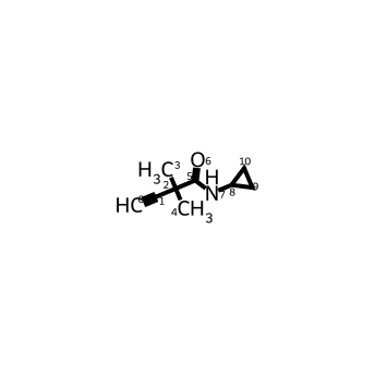 C#CC(C)(C)C(=O)NC1CC1